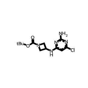 CC(C)(C)OC(=O)N1CC(Nc2cc(Cl)nc(N)n2)C1